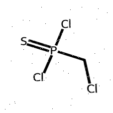 S=P(Cl)(Cl)CCl